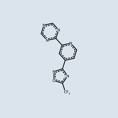 FC(F)(F)c1nc(-c2ccnc(-c3ncncn3)c2)no1